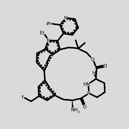 CCn1c(-c2cccnc2C(C)C)c2c3cc(ccc31)-c1cc(CF)cc(c1)C[C@H](N)C(=O)N1CCC[C@H](N1)C(=O)OCC(C)(C)C2